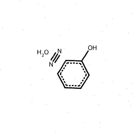 N#N.O.Oc1ccccc1